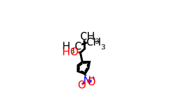 CC(C)(C)CC(O)c1ccc([N+](=O)[O-])cc1